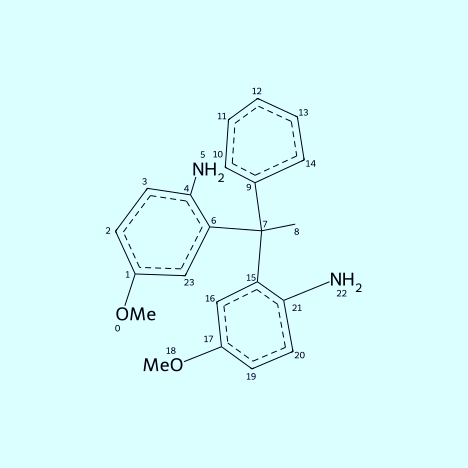 COc1ccc(N)c(C(C)(c2ccccc2)c2cc(OC)ccc2N)c1